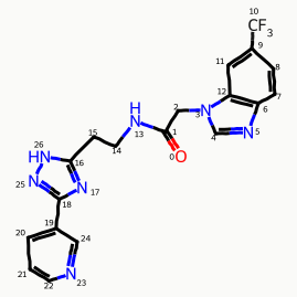 O=C(Cn1cnc2ccc(C(F)(F)F)cc21)NCCc1nc(-c2cccnc2)n[nH]1